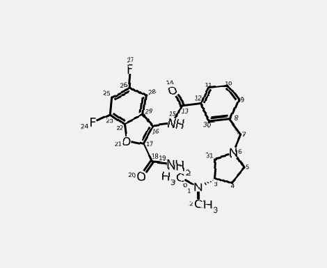 CN(C)[C@H]1CCN(Cc2cccc(C(=O)Nc3c(C(N)=O)oc4c(F)cc(F)cc34)c2)C1